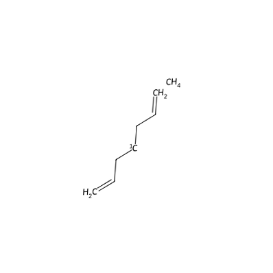 C.C=CC[1CH2]CC=C